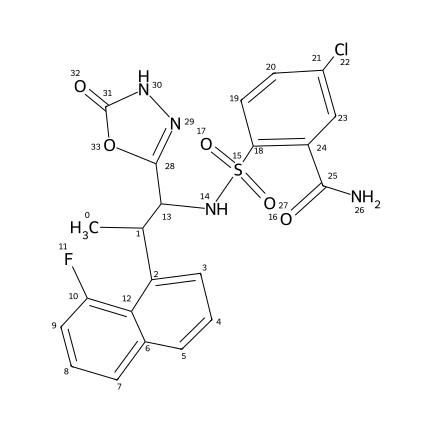 CC(c1cccc2cccc(F)c12)C(NS(=O)(=O)c1ccc(Cl)cc1C(N)=O)c1n[nH]c(=O)o1